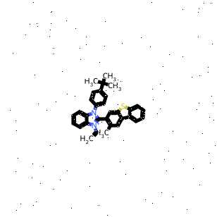 C=C[n+]1c(-c2cc3sc4ccccc4c3cc2C)n(-c2ccc(C(C)(C)C)cc2)c2ccccc21